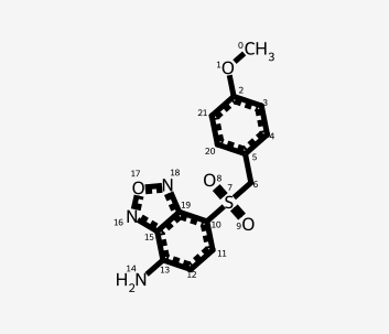 COc1ccc(CS(=O)(=O)c2ccc(N)c3nonc23)cc1